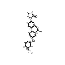 CC1Oc2cc(N3CCCC3=O)ccc2-c2cnc(Nc3cncc(C(F)(F)F)c3)cc21